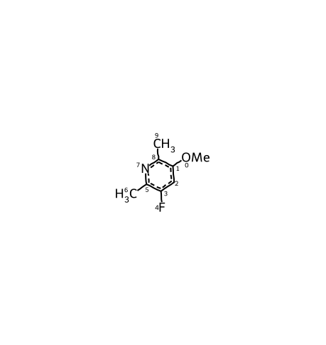 COc1cc(F)c(C)nc1C